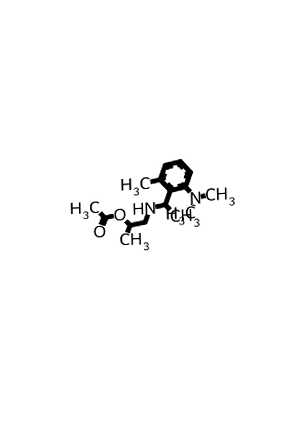 CC(=O)OC(C)CNC(C)c1c(C)cccc1N(C)C